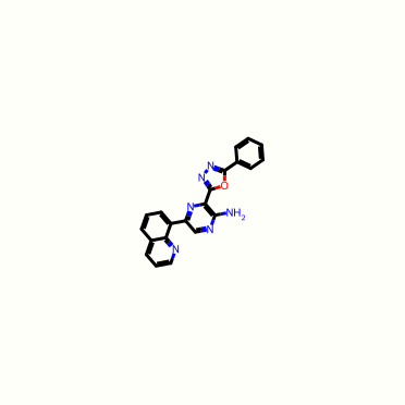 Nc1ncc(-c2cccc3cccnc23)nc1-c1nnc(-c2ccccc2)o1